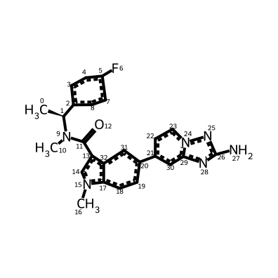 C[C@@H](c1ccc(F)cc1)N(C)C(=O)c1cn(C)c2ccc(-c3ccn4nc(N)nc4c3)cc12